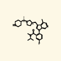 Cc1cncc2c1c(C[C@H]1CCN([C@@H](C)C3CCNCC3)C1)cn2-c1ccc(F)cc1C(=O)N(C)C(C)C